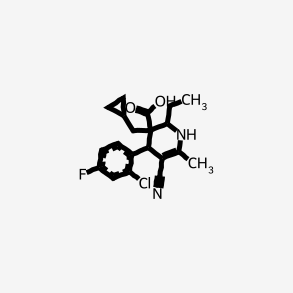 CCC1NC(C)=C(C#N)C(c2ccc(F)cc2Cl)C1(CC1CC1)C(=O)O